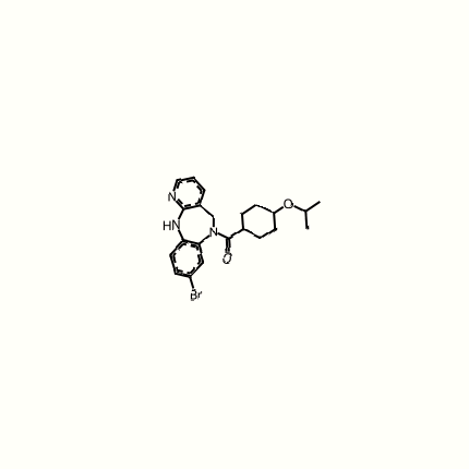 CC(C)OC1CCC(C(=O)N2Cc3cccnc3Nc3ccc(Br)cc32)CC1